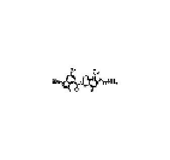 CC[C@@H](C)n1cc(C)c2c(C(=O)NCc3c(C)cc(N=NN)n(N)c3=O)cc(Br)cc21